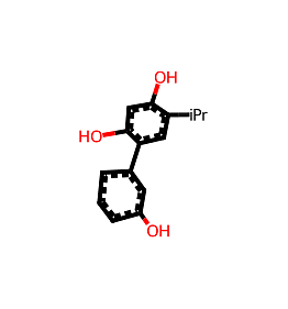 CC(C)c1cc(-c2cccc(O)c2)c(O)cc1O